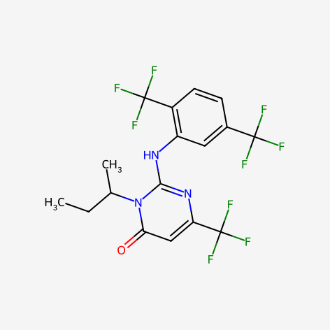 CCC(C)n1c(Nc2cc(C(F)(F)F)ccc2C(F)(F)F)nc(C(F)(F)F)cc1=O